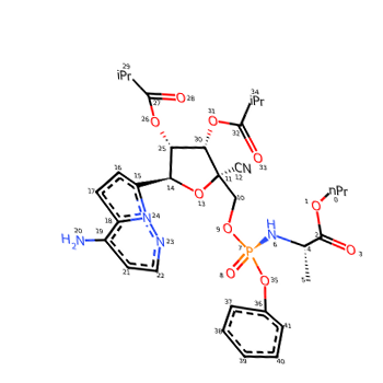 CCCOC(=O)[C@H](C)N[P@@](=O)(OC[C@@]1(C#N)O[C@@H](c2ccc3c(N)ccnn23)[C@H](OC(=O)C(C)C)[C@@H]1OC(=O)C(C)C)Oc1ccccc1